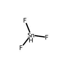 [F][SnH]([F])[F]